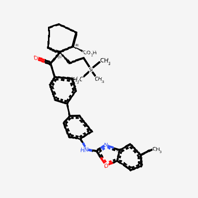 Cc1ccc2oc(Nc3ccc(-c4ccc(C(=O)[C@]5(CC[Si](C)(C)C)CCCC[C@H]5C(=O)O)cc4)cc3)nc2c1